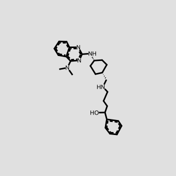 CN(C)c1nc(N[C@H]2CC[C@@H](CNCCCC(O)c3ccccc3)CC2)nc2ccccc12